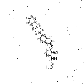 OCCNc1nccc(Sc2ccc3nc(N4CCC5(CC4)Cc4cccnc4C5)cnc3n2)c1Cl